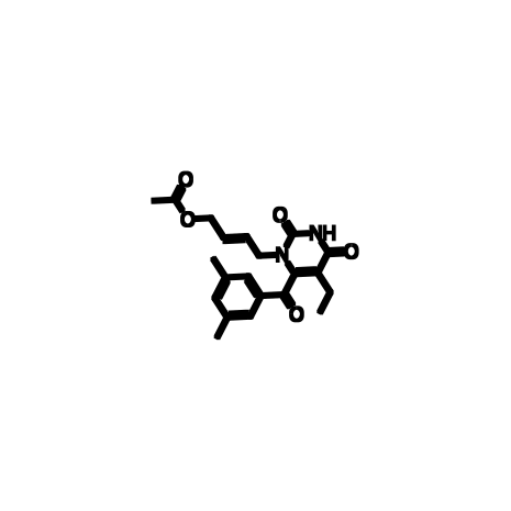 CCc1c(C(=O)c2cc(C)cc(C)c2)n(CC=CCOC(C)=O)c(=O)[nH]c1=O